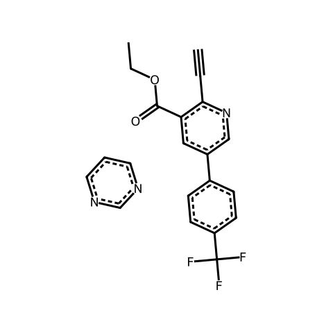 C#Cc1ncc(-c2ccc(C(F)(F)F)cc2)cc1C(=O)OCC.c1cncnc1